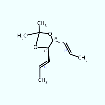 C/C=C/[C@H]1OC(C)(C)O[C@@H]1/C=C/C